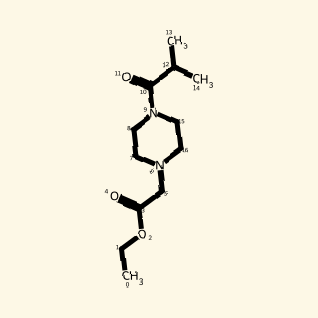 CCOC(=O)CN1CCN(C(=O)C(C)C)CC1